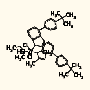 CC[SiH](C)[Zr]([Cl])([Cl])([CH]1C(C)=Cc2c(-c3ccc(C(C)(C)C)cc3)cccc21)[CH]1C(C)=Cc2c(-c3ccc(C(C)(C)C)cc3)cccc21